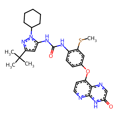 CSc1cc(Oc2ccnc3[nH]c(=O)cnc23)ccc1NC(=O)Nc1cc(C(C)(C)C)nn1C1CCCCC1